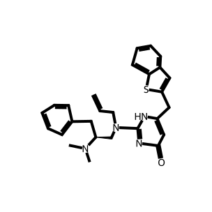 C=CCN(C[C@H](Cc1ccccc1)N(C)C)c1nc(=O)cc(Cc2cc3ccccc3s2)[nH]1